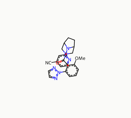 COc1cccc(-n2nccn2)c1C(=O)N1CC2CCC(C1)N2c1cc(C#N)ccn1